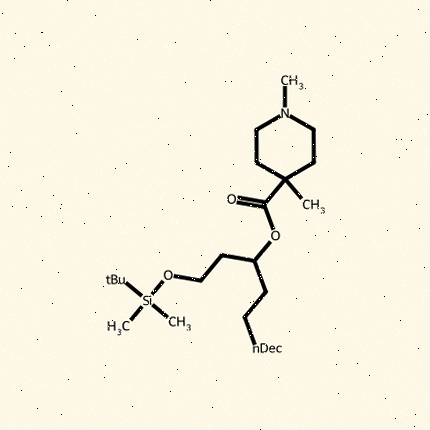 CCCCCCCCCCCCC(CCO[Si](C)(C)C(C)(C)C)OC(=O)C1(C)CCN(C)CC1